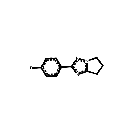 Fc1ccc(-c2nc3n(n2)CCC3)cc1